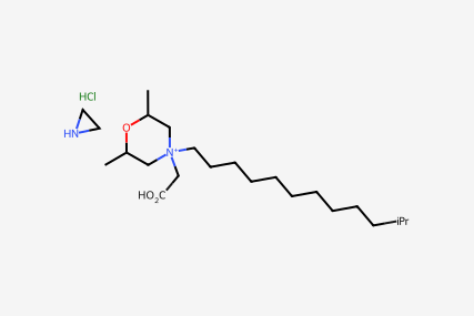 C1CN1.CC(C)CCCCCCCCCC[N+]1(CC(=O)O)CC(C)OC(C)C1.Cl